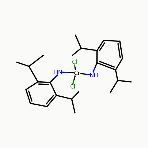 CC(C)c1cccc(C(C)C)c1[NH][Cr]([Cl])([Cl])[NH]c1c(C(C)C)cccc1C(C)C